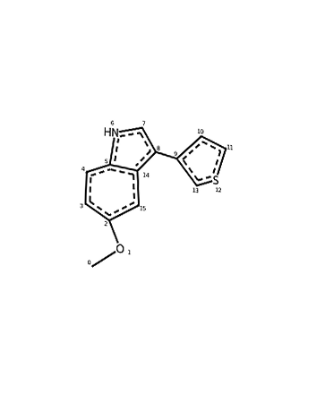 COc1ccc2[nH]cc(-c3ccsc3)c2c1